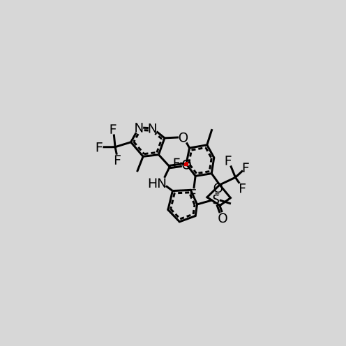 Cc1cc(C2(C(F)(F)F)CCC2)c(F)c(F)c1Oc1nnc(C(F)(F)F)c(C)c1C(=O)Nc1cccc(S(C)(=O)=O)c1